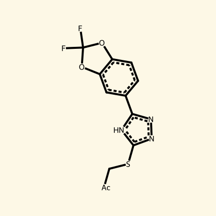 CC(=O)CSc1nnc(-c2ccc3c(c2)OC(F)(F)O3)[nH]1